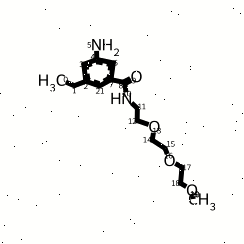 CCc1cc(N)cc(C(=O)NCCOCCOCCOC)c1